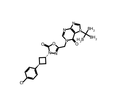 BC(B)(B)n1cnc2ncn(Cc3nn([C@H]4C[C@H](c5ccc(Cl)cc5)C4)c(=O)o3)c(=O)c21